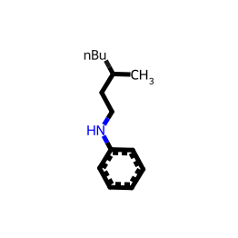 CCCCC(C)CCNc1ccccc1